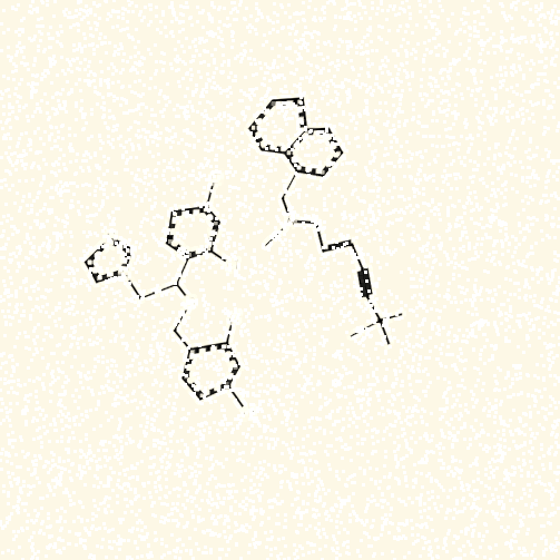 CN(C/C=C/C#CC(C)(C)C)Cc1cccc2ccccc12.Clc1ccc(COC(Cn2ccnc2)c2ccc(Cl)cc2Cl)c(Cl)c1